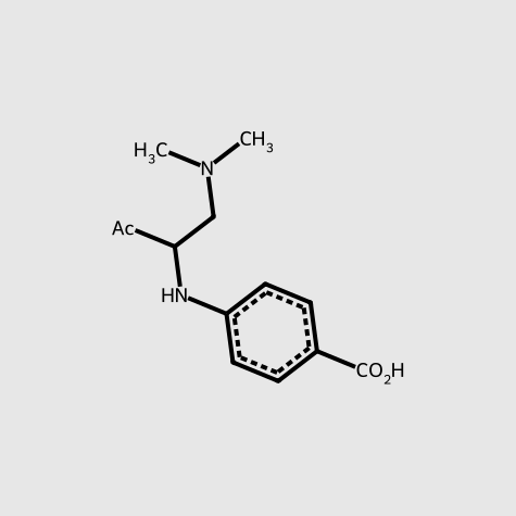 CC(=O)C(CN(C)C)Nc1ccc(C(=O)O)cc1